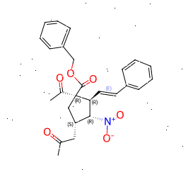 CC(=O)C[C@@H]1C[C@@](C(C)=O)(C(=O)OCc2ccccc2)[C@@H](/C=C/c2ccccc2)[C@@H]1[N+](=O)[O-]